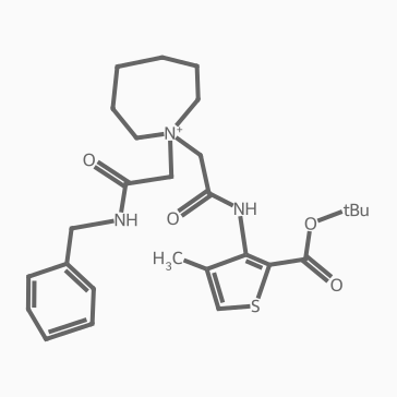 Cc1csc(C(=O)OC(C)(C)C)c1NC(=O)C[N+]1(CC(=O)NCc2ccccc2)CCCCCC1